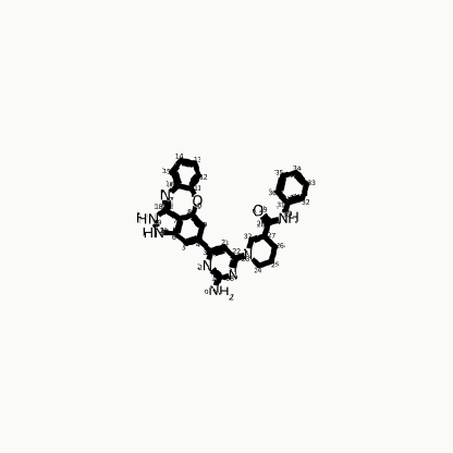 Nc1nc(-c2cc3c4c(c2)Oc2ccccc2N=C4NN3)cc(N2CCCC(C(=O)Nc3ccccc3)C2)n1